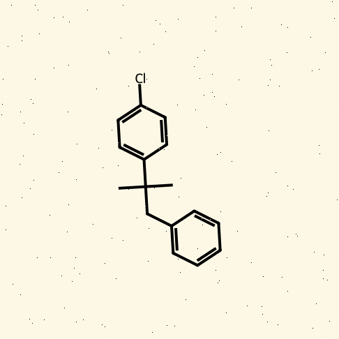 CC(C)(Cc1ccccc1)c1ccc(Cl)cc1